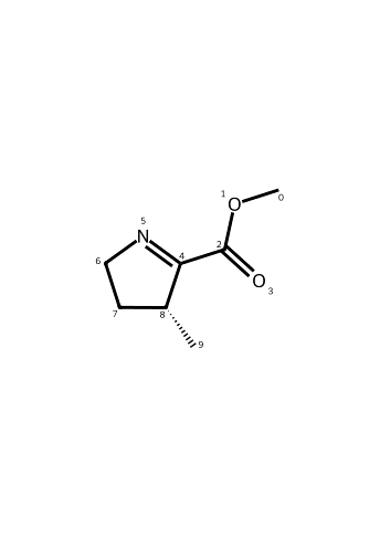 COC(=O)C1=NCC[C@H]1C